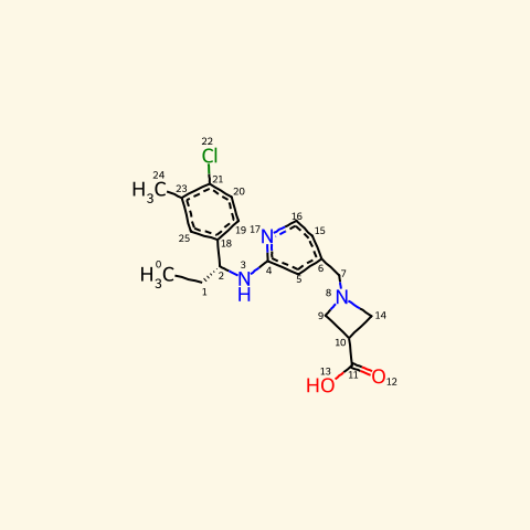 CC[C@@H](Nc1cc(CN2CC(C(=O)O)C2)ccn1)c1ccc(Cl)c(C)c1